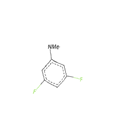 C[N]c1cc(F)cc(F)c1